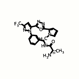 C[C@H](N)C(=O)NCc1cccc(-n2nc(C(F)(F)F)cc2-c2nnc(-c3cccn3C)o2)c1